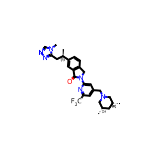 C[C@@H]1C[C@H](C)CN(Cc2cc(N3Cc4ccc([C@H](C)Cc5nncn5C)cc4C3=O)nc(C(F)(F)F)c2)C1